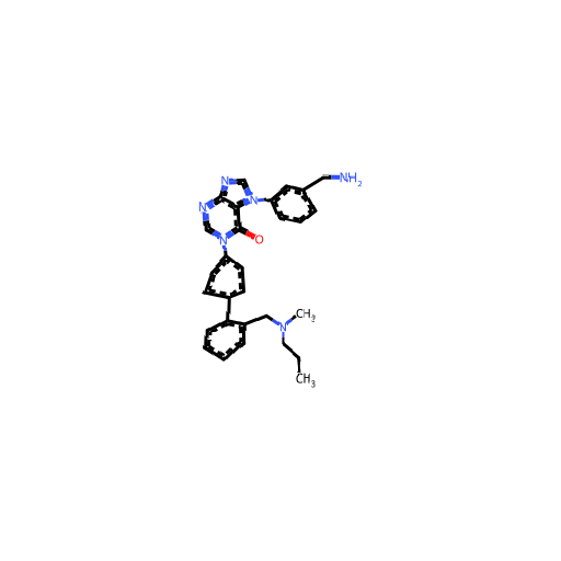 CCCN(C)Cc1ccccc1-c1ccc(-n2cnc3ncn(-c4cccc(CN)c4)c3c2=O)cc1